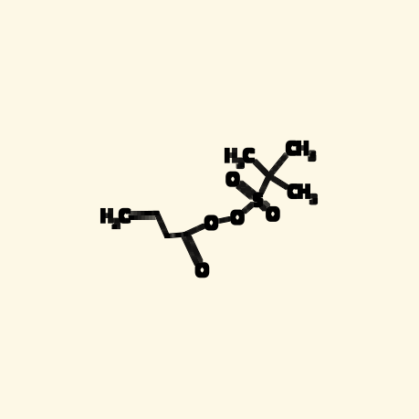 C=CCC(=O)OOS(=O)(=O)C(C)(C)C